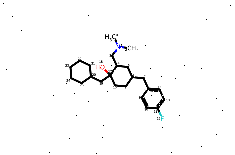 CN(C)CC1CC(Cc2ccc(F)cc2)CCC1(O)CC1CCCCC1